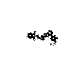 NCc1ccc(-c2ccnc3[nH]c(-c4cnn(CCN5C(=O)c6ccccc6C5=O)c4)nc23)cc1F